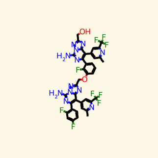 Cc1cc(-c2c(-c3ccc(F)cc3F)nc(N)n3nc(COc4cccc(-c5nc(N)n6nc(CO)nc6c5-c5cc(C)nc(C(F)(F)F)c5)c4F)nc23)cc(C(F)(F)F)n1